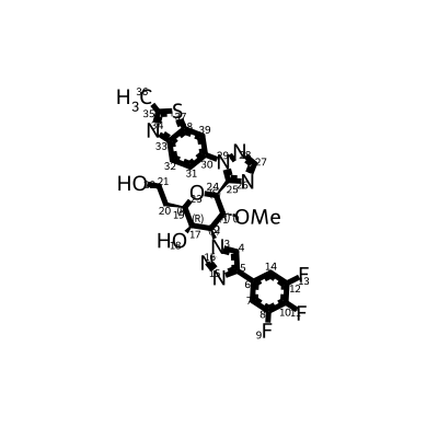 CO[C@@H]1[C@@H](n2cc(-c3cc(F)c(F)c(F)c3)nn2)[C@@H](O)[C@@H](CCO)O[C@H]1c1ncnn1-c1ccc2nc(C)sc2c1